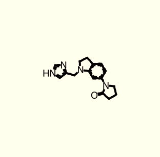 O=C1CCCN1c1ccc2c(c1)N(Cc1c[nH]cn1)CC2